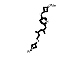 COC1CC(Oc2ccc(CC(C)CC(C)CCOC3CN(C(C)C)C3)nc2)C1